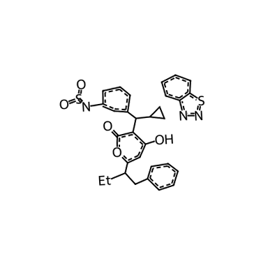 CCC(Cc1ccccc1)c1cc(O)c(C(c2cccc(N=S(=O)=O)c2)C2CC2)c(=O)o1.c1ccc2snnc2c1